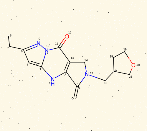 C=C1c2[nH]c3cc(CC)nn3c(=O)c2CN1CC1CCOC1